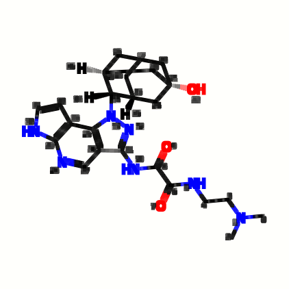 CN(C)CCNC(=O)C(=O)Nc1nn([C@H]2[C@@H]3CC4C[C@H]2C[C@@](O)(C4)C3)c2c1cnc1[nH]ccc12